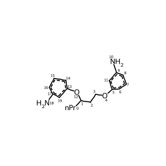 CCCC(CCOc1cccc(N)c1)Oc1cccc(N)c1